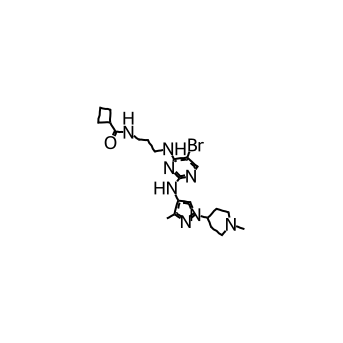 Cc1nn(C2CCN(C)CC2)cc1Nc1ncc(Br)c(NCCCNC(=O)C2CCC2)n1